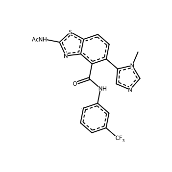 CC(=O)Nc1nc2c(C(=O)Nc3[c]ccc(C(F)(F)F)c3)c(-c3cncn3C)ccc2s1